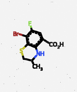 CC1CSc2c(Br)c(F)cc(C(=O)O)c2N1